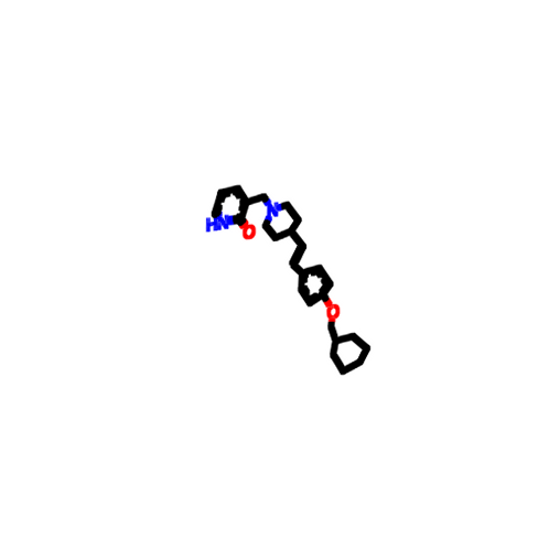 O=c1[nH]cccc1CN1CCC(C=Cc2ccc(OCC3CCCCC3)cc2)CC1